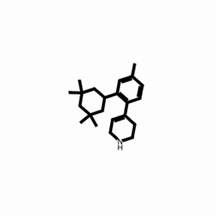 Cc1ccc(C2=CCNCC2)c(C2CC(C)(C)CC(C)(C)C2)c1